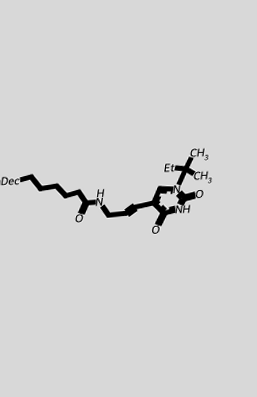 CCCCCCCCCCCCCCCC(=O)NCC#Cc1cn(C(C)(C)CC)c(=O)[nH]c1=O